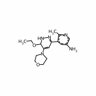 CCOC1NN=C(c2cc(N)cnc2C)C=C1N1CCOCC1